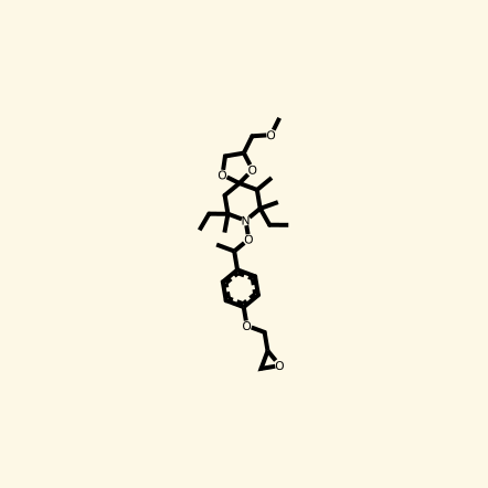 CCC1(C)CC2(OCC(COC)O2)C(C)C(C)(CC)N1OC(C)c1ccc(OCC2CO2)cc1